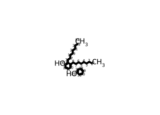 CCCCCCCCCc1cccc(O)c1CCCCCCCCC.Oc1ccccc1